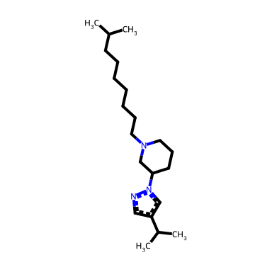 CC(C)CCCCCCCN1CCCC(n2cc(C(C)C)cn2)C1